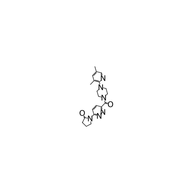 Cc1cnc(N2CCN(C(=O)c3ccc(N4CCCC4=O)nn3)CC2)c(C)c1